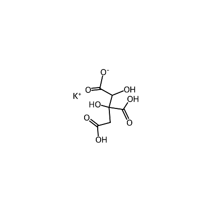 O=C(O)CC(O)(C(=O)O)C(O)C(=O)[O-].[K+]